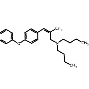 CCCCN(CCCC)CC(C)=Cc1ccc(Oc2ccccc2)cc1